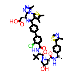 Cc1ncsc1-c1ccc([C@H](C)NC(=O)[C@@H]2C[C@@H](O)CN2C(=O)[C@@H](NC(=O)c2ccc(-c3ccc(C4=N[C@@H](CC(=O)O)c5nnc(C)n5-c5sc(C)c(C)c54)cc3)cc2Cl)C(C)(C)C)cc1